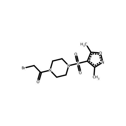 Cc1noc(C)c1S(=O)(=O)N1CCN(C(=O)CBr)CC1